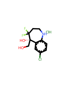 Cl.OC[C@]1(O)c2cc(Cl)ccc2NCCC1(F)F